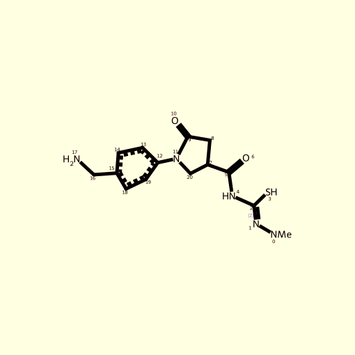 CN/N=C(\S)NC(=O)C1CC(=O)N(c2ccc(CN)cc2)C1